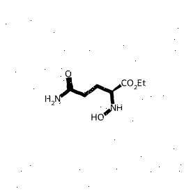 CCOC(=O)[C@H](CCC(N)=O)NO